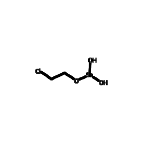 [OH][Sb]([OH])[O]CCCl